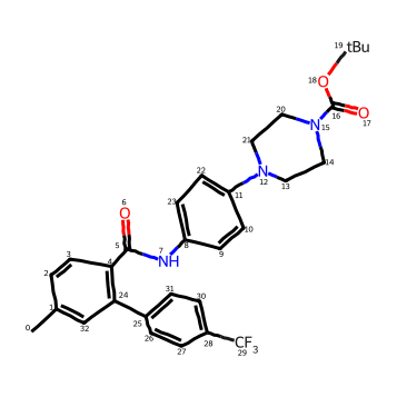 Cc1ccc(C(=O)Nc2ccc(N3CCN(C(=O)OC(C)(C)C)CC3)cc2)c(-c2ccc(C(F)(F)F)cc2)c1